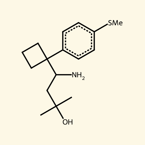 CSc1ccc(C2(C(N)CC(C)(C)O)CCC2)cc1